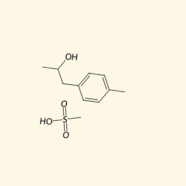 CS(=O)(=O)O.Cc1ccc(CC(C)O)cc1